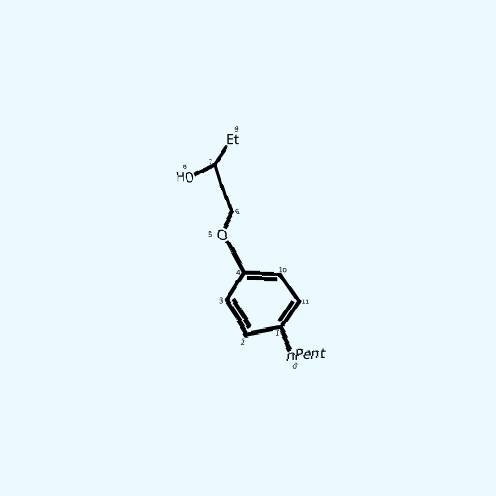 CCCCCc1ccc(OCC(O)CC)cc1